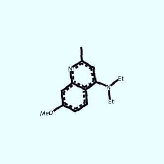 CCN(CC)c1cc(C)nc2cc(OC)ccc12